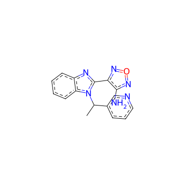 CC(c1cccnc1)n1c(-c2nonc2N)nc2ccccc21